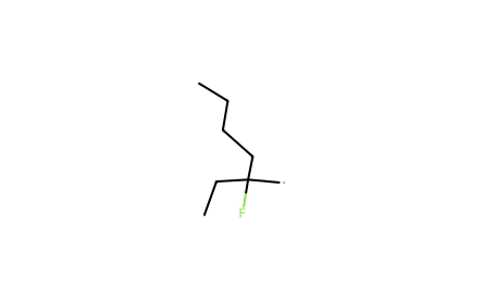 [CH2]C(F)(CC)CCCC